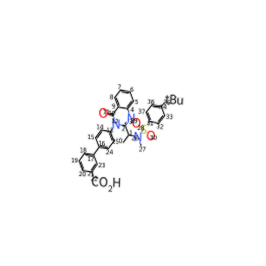 CC(c1nc2ccccc2c(=O)n1-c1ccc(-c2cccc(C(=O)O)c2)cc1)N(C)S(=O)(=O)c1ccc(C(C)(C)C)cc1